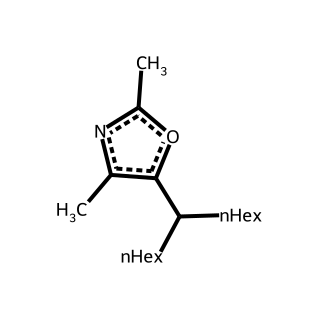 CCCCCCC(CCCCCC)c1oc(C)nc1C